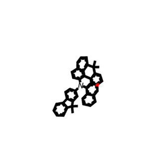 CC1(C)c2ccccc2-c2ccc(N(c3ccc4cccc5c4c3-c3ccccc3C5(C)C)c3cccc4ccccc34)cc21